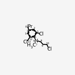 CC(C)c1cc(Cl)c(N(C)CCCCl)c(Cl)c1